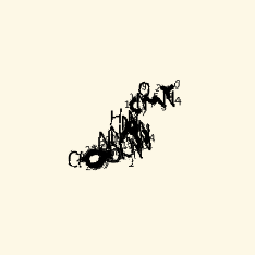 CC(C)N(C)C/C=C/C(=O)N1CCC(n2nc(C(=O)Nc3nc4cc(Cl)ccc4o3)c3c(N)ncnc32)C1